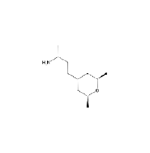 CC(N)CCC1C[C@@H](C)O[C@@H](C)C1